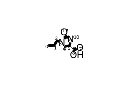 CCCN1C[C@@H](C(=O)O)N(C)C1=O